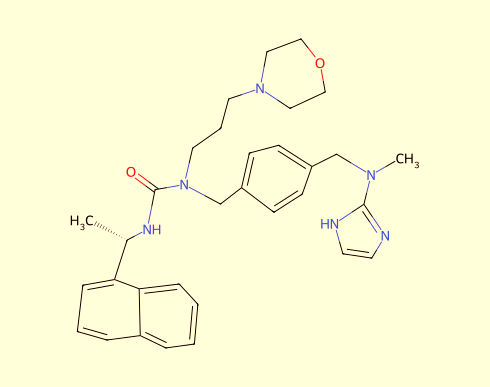 C[C@H](NC(=O)N(CCCN1CCOCC1)Cc1ccc(CN(C)c2ncc[nH]2)cc1)c1cccc2ccccc12